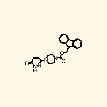 O=C(OCC1c2ccccc2-c2ccccc21)N1CCN(c2ccc(=O)[nH]n2)CC1